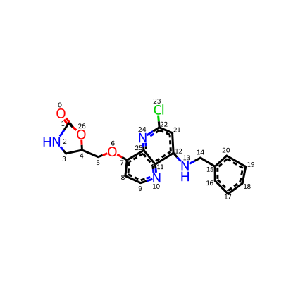 O=C1NCC(COc2ccnc3c(NCc4ccccc4)cc(Cl)nc23)O1